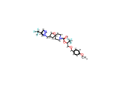 COc1ccc(COC[C@@H](OC(=O)N2CCC3(CC2)CC(Cn2cc(C(F)(F)F)cn2)CO3)C(F)(F)F)cc1